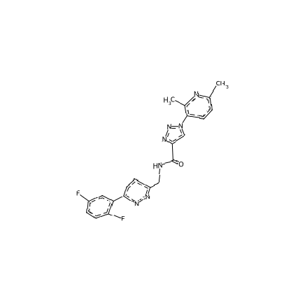 Cc1ccc(-n2cc(C(=O)NCc3ccc(-c4cc(F)ccc4F)nn3)nn2)c(C)n1